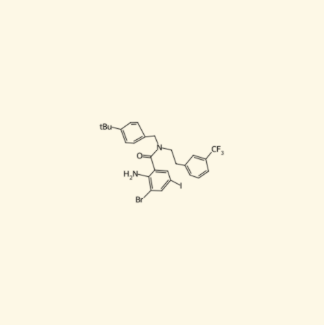 CC(C)(C)c1ccc(CN(CCc2cccc(C(F)(F)F)c2)C(=O)c2cc(I)cc(Br)c2N)cc1